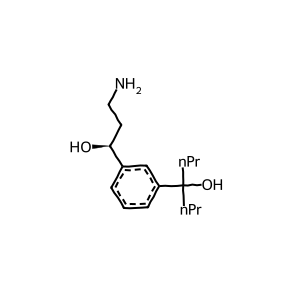 CCCC(O)(CCC)c1cccc([C@@H](O)CCN)c1